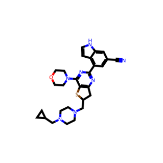 N#Cc1cc(-c2nc3c(c(N4CCOCC4)n2)SC(CN2CCN(CC4CC4)CC2)C3)c2cc[nH]c2c1